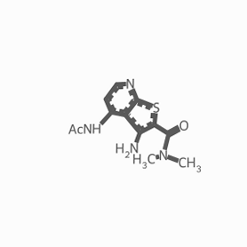 CC(=O)Nc1ccnc2sc(C(=O)N(C)C)c(N)c12